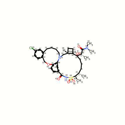 C[C@@H]1[C@@H](C)CCC[C@@](O)([C@@H](C)C(=O)N(C)C)[C@@H]2CC[C@H]2CN2CCCCc3cc(Cl)ccc3COc3ccc(cc32)C(=O)NS1(=O)=O